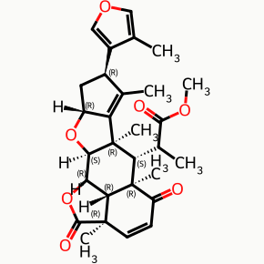 COC(=O)C(C)[C@H]1[C@]2(C)C3=C(C)[C@H](c4cocc4C)C[C@H]3O[C@@H]2[C@@H]2OC(=O)[C@]3(C)C=CC(=O)[C@@]1(C)[C@@H]23